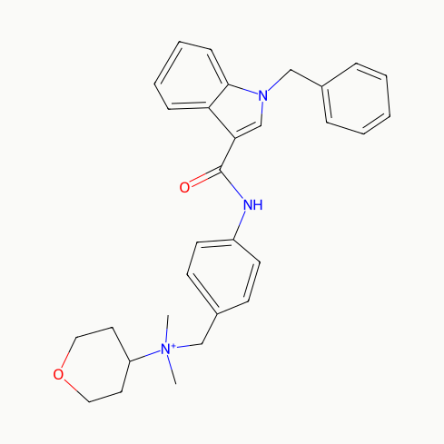 C[N+](C)(Cc1ccc(NC(=O)c2cn(Cc3ccccc3)c3ccccc23)cc1)C1CCOCC1